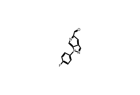 O=Cc1cc2cnn(-c3ccc(F)cc3)c2cn1